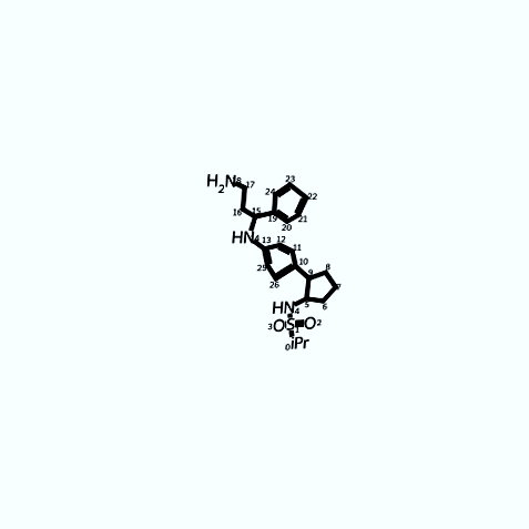 CC(C)S(=O)(=O)NC1CCCC1c1ccc(NC(CCN)c2ccccc2)cc1